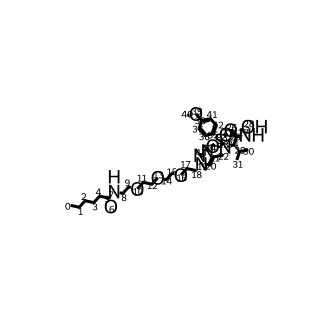 CCCCCC(=O)NCCOCCOCCOCCn1cc(CN([C@@H](C(=O)NO)C(C)C)S(=O)(=O)c2ccc(OC)cc2)nn1